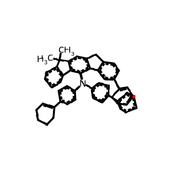 CC1(C)c2ccccc2-c2c1cc1c(c2N(c2ccc(C3=CCCCC3)cc2)c2ccc(-c3ccccc3)cc2)-c2cc(C3=CC=CCC3)ccc2C1